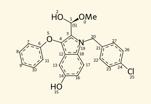 CO[C@H](O)c1c(Oc2ccccc2)c2cc(O)ccc2n1Cc1ccc(Cl)cc1